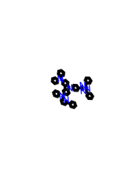 c1ccc(-c2cccc(N(c3ccccc3)c3ccc4c(c3)c3cc(N(c5ccccc5)c5ccccc5)ccc3n4-c3ccc(-c4nc(-c5ccccc5)nc(-c5ccccc5)n4)cc3)n2)cc1